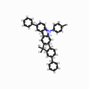 Cc1ccc(-n2c3ccc(-c4ccccc4)cc3c3cc4c(cc32)-c2ccc(-c3ccccc3)cc2C4(C)C)cc1